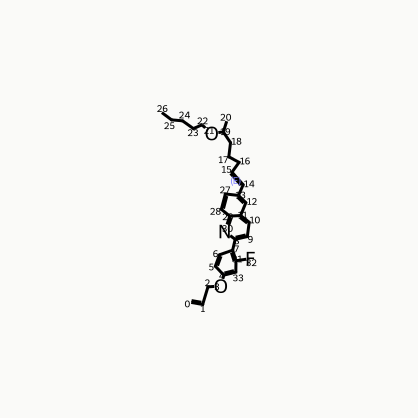 C=CCOc1ccc(-c2ccc3cc(/C=C/CCCC(C)OCCCCC)ccc3n2)c(F)c1